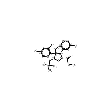 CCC(C)(C)C[C@@H]1N[C@@H](C(=O)OC(C)(C)C)[C@H](c2cccc(Cl)c2)[C@@]1(CN)c1ccc(Cl)cc1F